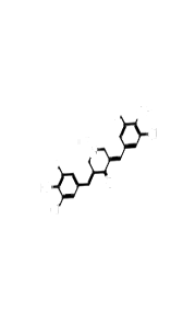 CC(C)N1C/C(=C\c2cc(Cl)c(O)c(Cl)c2)C(=O)/C(=C/c2cc(Cl)c(O)c(Cl)c2)C1